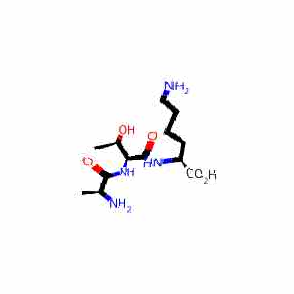 C[C@H](N)C(=O)N[C@H](C(=O)N[C@@H](CCCCN)C(=O)O)[C@@H](C)O